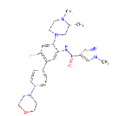 CC1CN(c2cc(F)c(-c3ccc(N4CCOCC4)cc3)cc2NC(=O)c2cnn(C)c2)CCN1C